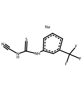 N#CNC(=S)Nc1cccc(C(F)(F)F)c1.[Na]